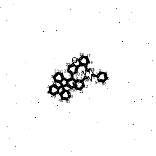 c1ccc(-c2nc(-c3ccccc3)nc(-c3cccc4oc5ccc(-c6cccc7c6-c6ccccc6C7(c6ccccc6)c6ccccc6)cc5c34)n2)cc1